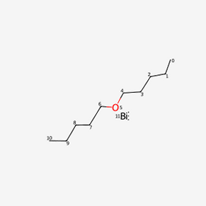 CCCCCOCCCCC.[Bi]